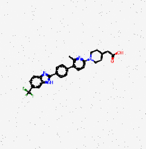 Cc1nc(N2CCC(CC(=O)O)CC2)ccc1-c1ccc(-c2nc3ccc(C(F)(F)F)cc3[nH]2)cc1